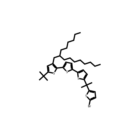 CCCCCCCCC(CCCCCC)Cc1cc(C(C)(C)C)sc1-c1ccc(-c2ccc(C(C)(C)c3ccc(Br)s3)s2)s1